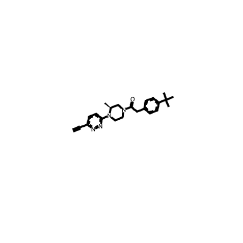 C#Cc1ccc(N2CCN(C(=O)Cc3ccc(C(C)(C)C)cc3)C[C@@H]2C)nn1